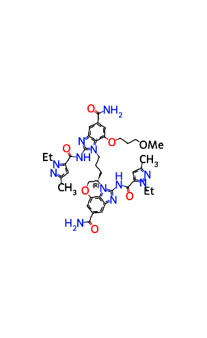 CCn1nc(C)cc1C(=O)Nc1nc2cc(C(N)=O)cc(OCCCOC)c2n1CCC[C@@H]1COc2cc(C(N)=O)cc3nc(NC(=O)c4cc(C)nn4CC)n1c23